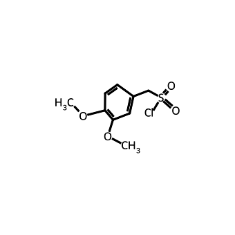 COc1ccc(CS(=O)(=O)Cl)cc1OC